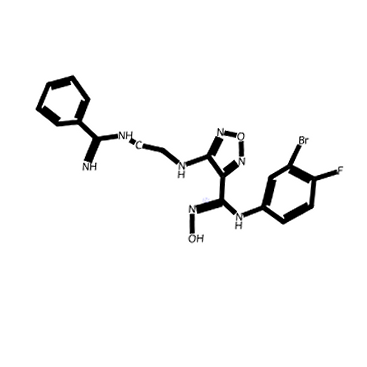 N=C(NCCNc1nonc1/C(=N/O)Nc1ccc(F)c(Br)c1)c1ccccc1